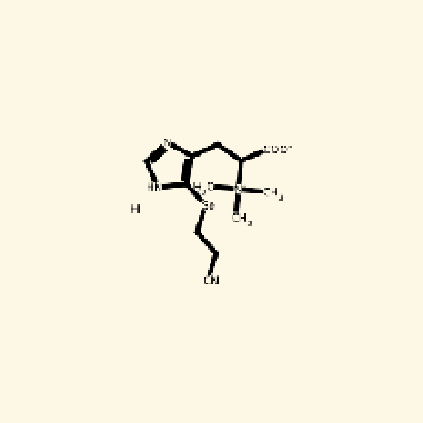 C[N+](C)(C)C(Cc1nc[nH]c1[Se]CCC#N)C(=O)[O-].I